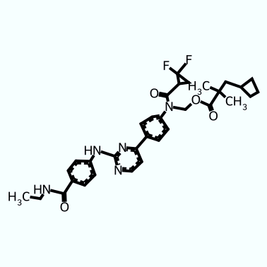 CCNC(=O)c1ccc(Nc2nccc(-c3ccc(N(COC(=O)C(C)(C)CC4CCC4)C(=O)C4CC4(F)F)cc3)n2)cc1